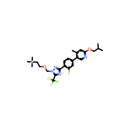 Cc1cc(OCC(C)C)ncc1-c1ccc(-c2nc(C(F)(F)F)n(COCC[Si](C)(C)C)n2)c(F)c1